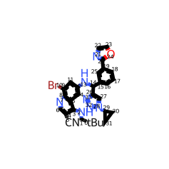 CC(C)(C)CNc1c(C#N)cnc2c(Br)cc(NC(c3cccc(-c4ncco4)c3)c3cn(C4CC4)nn3)cc12